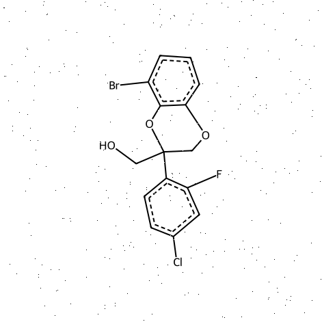 OCC1(c2ccc(Cl)cc2F)COc2cccc(Br)c2O1